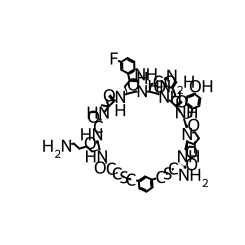 CC1(C)NC(=O)CNC(=O)[C@H](CCCCN)NC(=O)CCSCc2cccc(c2)CSC[C@@H](C(N)=O)NC(=O)[C@@H]2CCCN2C(=O)[C@H](Cc2ccc(O)cc2)NC(=O)[C@H](Cc2cnc[nH]2)NC(=O)[C@H](CC(=O)O)NC(=O)[C@H](Cc2c[nH]c3ccc(F)cc23)NC1=O